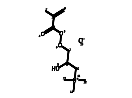 C=C(C)C(=O)OOCC(O)C[N+](C)(C)C.[Cl-]